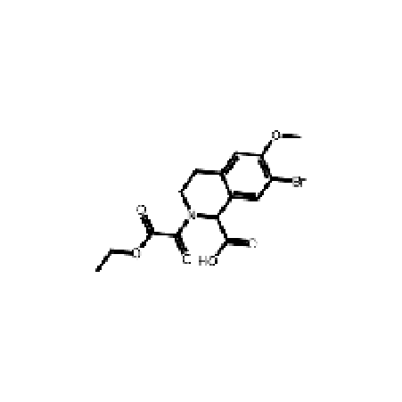 CCOC(=O)C(=O)N1CCc2cc(OC)c(Br)cc2C1C(=O)O